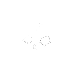 BrCCC1[Se]C=NN1Nc1ccccn1